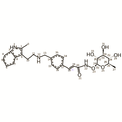 Cc1[nH]c2ccccc2c1CCNCc1ccc(/C=C/C(=O)NO[C@@H]2O[C@H](C)[C@@H](O)[C@H](O)[C@H]2O)cc1